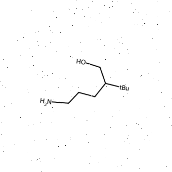 CC(C)(C)C(CO)CCCN